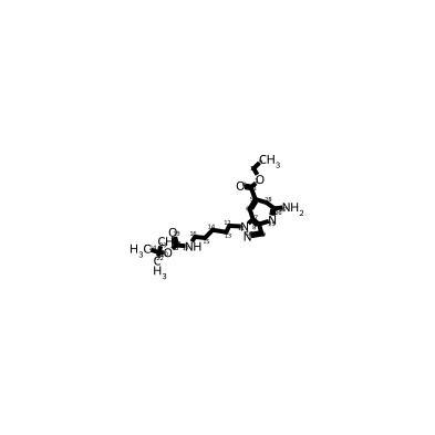 CCOC(=O)C1=Cc2c(cnn2CCCCCNC(=O)OC(C)(C)C)N=C(N)C1